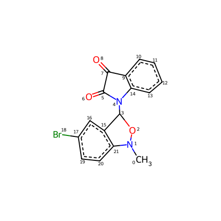 CN1OC(N2C(=O)C(=O)c3ccccc32)c2cc(Br)ccc21